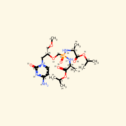 COC[C@@H](Cn1ccc(N)nc1=O)OCP(=O)(N[C@@H](C)C(=O)OC(C)C)N[C@@H](C)C(=O)OC(C)C